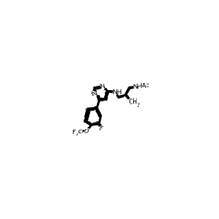 CC(=O)NCC(C)CNc1cc(-c2ccc(OC(F)(F)F)c(F)c2)ncn1